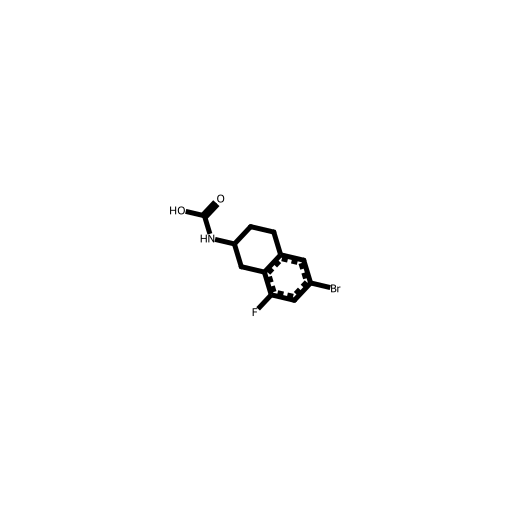 O=C(O)NC1CCc2cc(Br)cc(F)c2C1